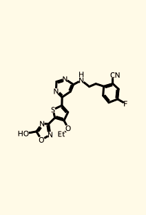 CCOc1cc(-c2cc(NCCc3ccc(F)cc3C#N)ncn2)sc1-c1noc(O)n1